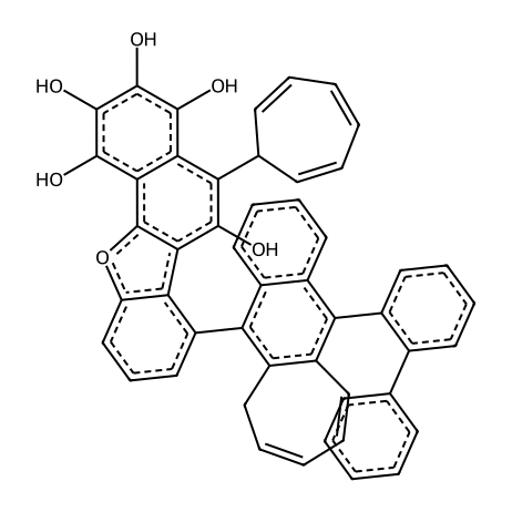 Oc1c(O)c(O)c2c(c1O)c(C1C=CC=CC=C1)c(O)c1c2oc2cccc(-c3c4c(c(-c5ccccc5-c5ccccc5)c5ccccc35)C=CC=CC4)c21